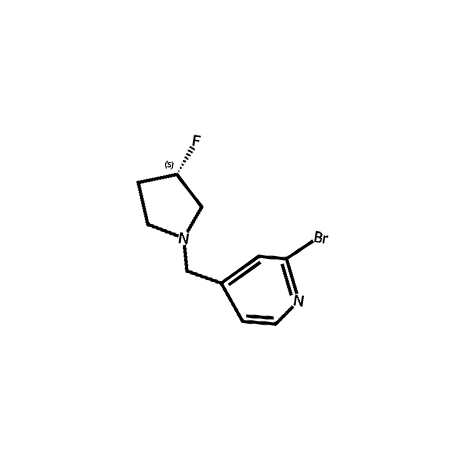 F[C@H]1CCN(Cc2ccnc(Br)c2)C1